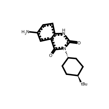 CC(C)(C)[C@H]1CC[C@H](n2c(=O)[nH]c3ccc(N)cc3c2=O)CC1